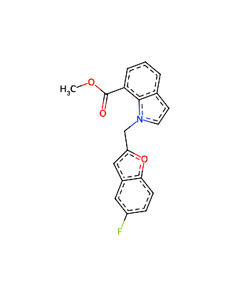 COC(=O)c1cccc2ccn(Cc3cc4cc(F)ccc4o3)c12